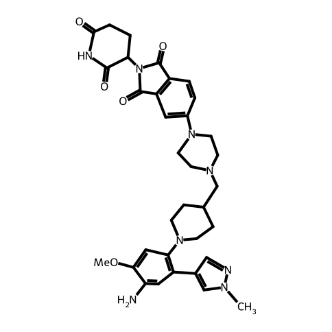 COc1cc(N2CCC(CN3CCN(c4ccc5c(c4)C(=O)N(C4CCC(=O)NC4=O)C5=O)CC3)CC2)c(-c2cnn(C)c2)cc1N